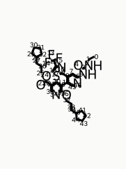 CCNC(=O)Nc1cc(-c2nc(C(F)(F)F)cs2)c(-c2cc(C(=O)OCCCC3CCCC3)cnc2OCCCC2CCCC2)cn1